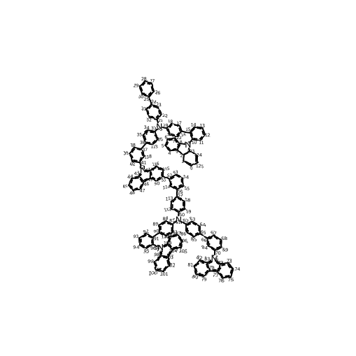 C1=CC2c3ccccc3N(c3ccccc3-c3ccc(N(c4ccc(-c5ccccc5)cc4)c4ccc(-c5cccc(-n6c7ccccc7c7cc(-c8cccc(-c9ccc(N(c%10ccc(-c%11cccc(-n%12c%13ccccc%13c%13ccccc%13%12)c%11)cc%10)c%10ccc(-c%11ccccc%11-n%11c%12ccccc%12c%12ccccc%12%11)cc%10)cc9)c8)ccc76)c5)cc4)cc3)C2C=C1